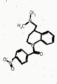 CN(C)CC1CCN(C(=O)c2ccc([N+](=O)[O-])cc2)c2ccccc21